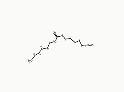 CCCCCCCCCCCCCCCC(=O)OCCOCCO